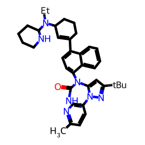 CCN(C1C=C(c2ccc(N(C(N)=O)c3cc(C(C)(C)C)nn3-c3ccc(C)nc3)c3ccccc23)CCC1)C1CCCCN1